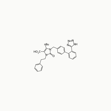 CCCCc1c(C(=O)O)n(CCc2ccccc2)c(=O)n1Cc1ccc(-c2ccccc2-c2nnn[nH]2)cc1